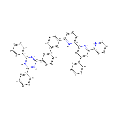 c1ccc(-c2cc(-c3ccccn3)nc(-c3cccc(-c4cccc(-c5cccc(-c6nc(-c7ccccc7)nc(-c7ccccc7)n6)c5)c4)n3)c2)cc1